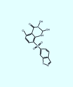 O=C1c2c(Cl)ccc(S(=O)(=O)c3ccc4cnsc4c3)c2NC(O)N1O